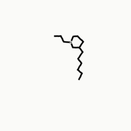 C[CH]CN1CCCC(CCCCCC)C1